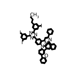 CCCCc1cc(I)cc(-c2nc(-c3cc(I)cc(I)c3)nc(-c3ccc(-n4c5ccccc5c5c6oc7ccccc7c6ccc54)c(-c4cc(-c5ccccc5)nc(-c5ccccc5)n4)c3)n2)c1